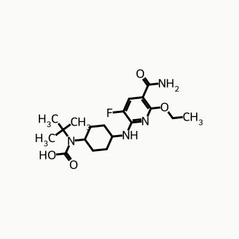 CCOc1nc(NC2CCC(N(C(=O)O)C(C)(C)C)CC2)c(F)cc1C(N)=O